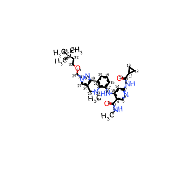 CNC(=O)c1cnc(NC(=O)C2CC2)cc1Nc1cccc2c1N(C)Cc1cn(COCC[Si](C)(C)C)nc1-2